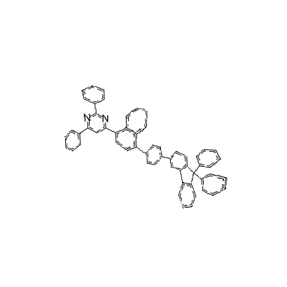 c1ccc(-c2cc(-c3ccc(-c4ccc(-c5ccc6c(c5)-c5ccccc5C6(c5ccccc5)c5ccccc5)cc4)c4ccccc34)nc(-c3ccccc3)n2)cc1